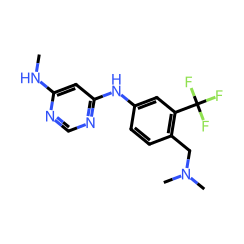 CNc1cc(Nc2ccc(CN(C)C)c(C(F)(F)F)c2)ncn1